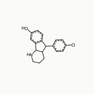 Oc1ccc2c(c1)C1NCCCC1C2c1ccc(Cl)cc1